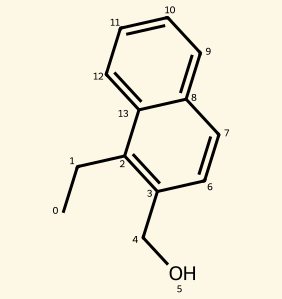 CCc1c(CO)ccc2ccccc12